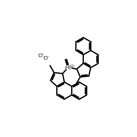 [CH2]=[Hf+2]([CH]1C(C)=Cc2ccc3ccccc3c21)[CH]1C(C)=Cc2ccc3ccccc3c21.[Cl-].[Cl-]